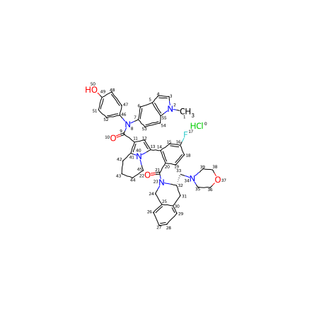 Cl.Cn1ccc2cc(N(C(=O)c3cc(-c4cc(F)ccc4C(=O)N4Cc5ccccc5C[C@H]4CN4CCOCC4)n4c3CCCC4)c3ccc(O)cc3)ccc21